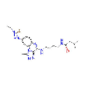 CCNC(=S)Nc1ccc2nc(NCCCCNC(=O)CC(C)C)c3nnc(C)n3c2c1